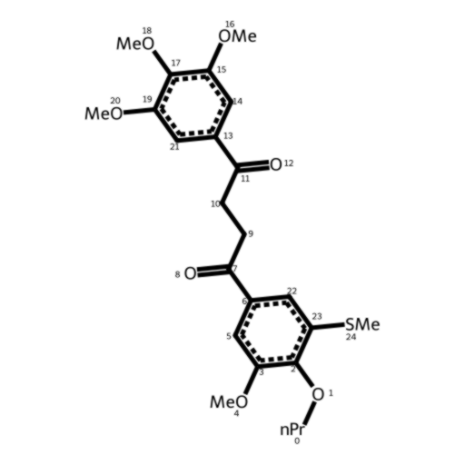 CCCOc1c(OC)cc(C(=O)CCC(=O)c2cc(OC)c(OC)c(OC)c2)cc1SC